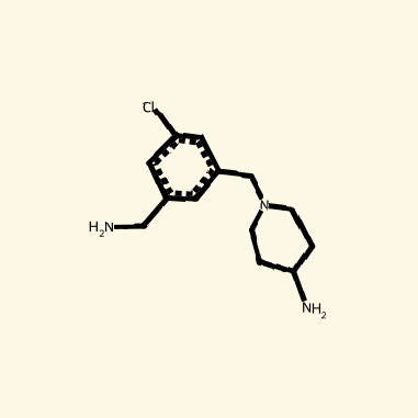 NCc1cc(Cl)cc(CN2CCC(N)CC2)c1